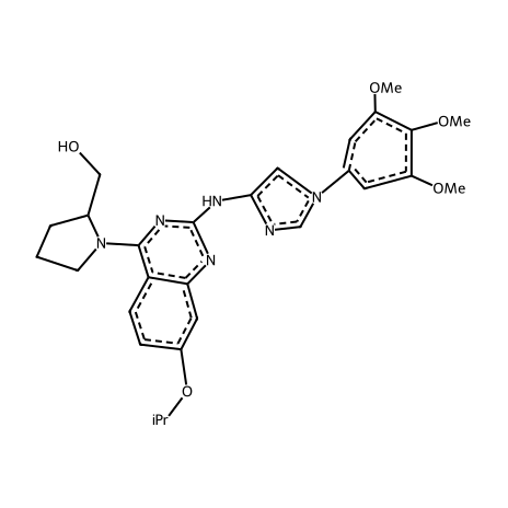 COc1cc(-n2cnc(Nc3nc(N4CCCC4CO)c4ccc(OC(C)C)cc4n3)c2)cc(OC)c1OC